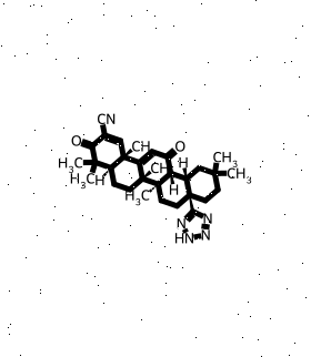 CC1(C)CC[C@]2(c3nn[nH]n3)CC[C@]3(C)[C@H](C(=O)C=C4[C@@]5(C)C=C(C#N)C(=O)C(C)(C)[C@@H]5CC[C@]43C)[C@@H]2C1